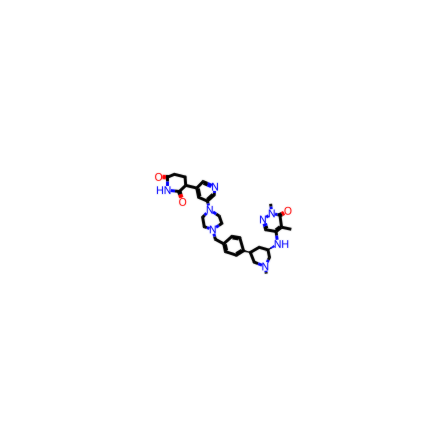 Cc1c(N[C@@H]2C[C@H](c3ccc(CN4CCN(c5cncc(C6CCC(=O)NC6=O)c5)CC4)cc3)CN(C)C2)cnn(C)c1=O